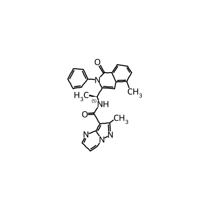 Cc1nn2cccnc2c1C(=O)N[C@@H](C)c1cc2c(C)cccc2c(=O)n1-c1ccccc1